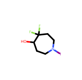 OC1CCN(I)CCC1(F)F